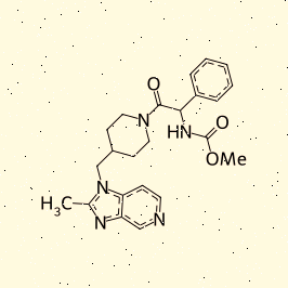 COC(=O)NC(C(=O)N1CCC(Cn2c(C)nc3cnccc32)CC1)c1ccccc1